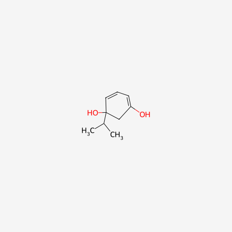 CC(C)C1(O)C=CC=C(O)C1